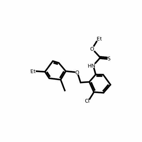 CCOC(=S)Nc1cccc(Cl)c1COc1ccc(CC)cc1C